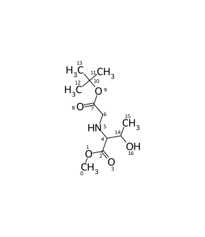 COC(=O)C(NCC(=O)OC(C)(C)C)C(C)O